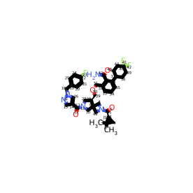 CC1(C)C[C@@H]1C(=O)N1CC2(CN(C(=O)c3cnn(Cc4ccc(F)cc4)c3)C[C@H]2COCc2cccc(C3CCC(F)(F)CC3)c2C(N)=O)C1